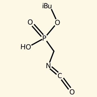 CCC(C)OP(=O)(O)CN=C=O